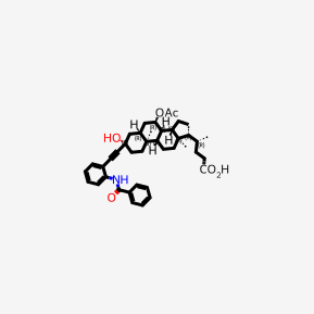 CC(=O)O[C@@H]1C[C@@H]2C[C@](O)(C#Cc3ccccc3NC(=O)c3ccccc3)CC[C@]2(C)[C@H]2CC[C@]3(C)[C@@H]([C@H](C)CCC(=O)O)CC[C@H]3[C@H]12